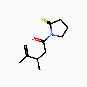 C=C(C)[C@H](C)CC(=O)N1CCCC1=S